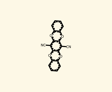 N#Cc1c2oc3ccccc3oc2c(C#N)c2oc3ccccc3oc12